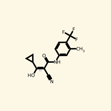 Cc1cc(NC(=O)/C(C#N)=C(/O)C2CC2)ccc1C(F)(F)F